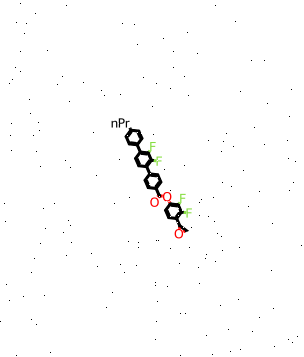 CCCc1ccc(-c2ccc(-c3ccc(C(=O)Oc4ccc(C5CO5)c(F)c4F)cc3)c(F)c2F)cc1